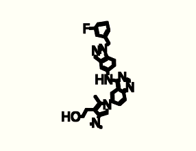 Cc1c(CCO)c(N(C)C)cn1-c1ccc2ncnc(Nc3ccc4c(cnn4Cc4cccc(F)c4)c3)c2c1